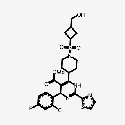 COC(=O)C1=C(C2CCN(S(=O)(=O)C3CC(CO)C3)CC2)NC(c2nccs2)=NC1c1ccc(F)cc1Cl